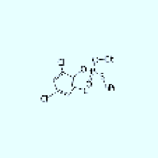 CCCSP(=O)(OCC)Oc1c(Cl)cc(Cl)cc1Cl